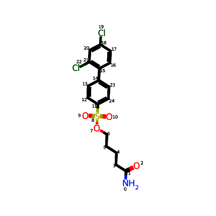 NC(=O)CCCCOS(=O)(=O)c1ccc(-c2ccc(Cl)cc2Cl)cc1